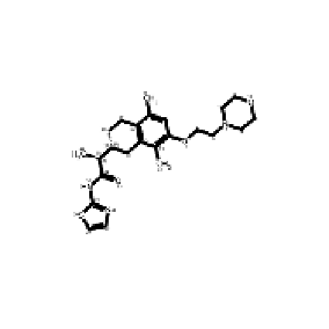 Cc1cc(OCCN2CCOCC2)c(C)c2c1CC[C@@H]([C@H](C)C(=O)Nc1nccs1)C2